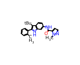 Cc1ccccc1-c1[nH]c2cc(NC(=O)c3ccnn3C)ccc2c1C(C)(C)C